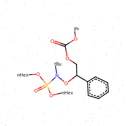 CCCCCCOP(=O)(OCCCCCC)N(OC(COC(=O)OC(C)C)c1ccccc1)C(C)(C)C